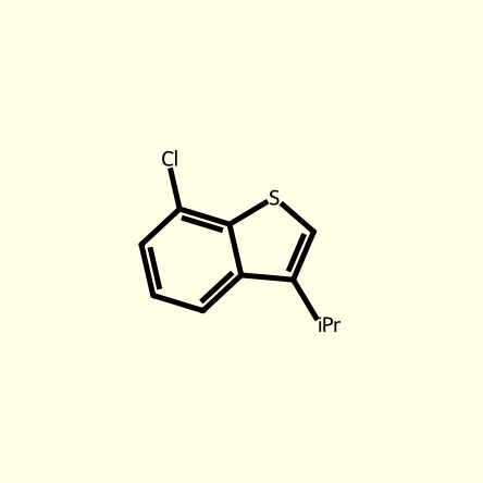 CC(C)c1csc2c(Cl)cccc12